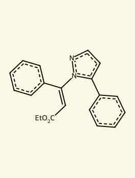 CCOC(=O)C=C(c1ccccc1)n1nccc1-c1ccccc1